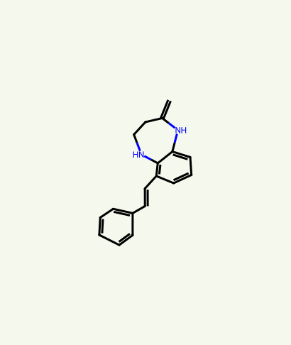 C=C1CCNc2c(/C=C/c3ccccc3)cccc2N1